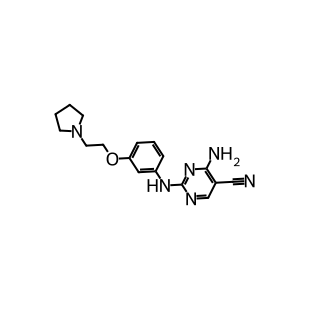 N#Cc1cnc(Nc2cccc(OCCN3CCCC3)c2)nc1N